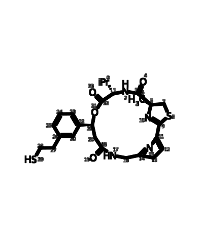 CC(C)[C@@H]1NC(=O)[C@]2(C)CSC(=N2)C2=CCC(=N2)CNC(=O)C[C@@H](c2cccc(CCS)c2)OC1=O